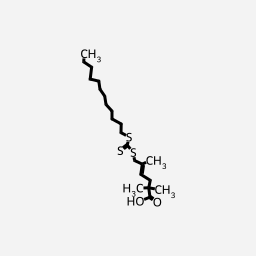 CCCCCCCCCCCCSC(=S)SC/C(C)=C/CC(C)(C)C(=O)O